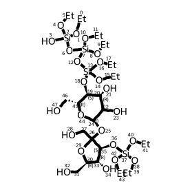 CCO[Si](O)(OCC)O[Si](OCC)(OCC)O[Si](OCC)(OCC)O[C@H]1[C@H](O)C(O)[C@@H](OC2(CO)O[C@H](CO)[C@@H](O)[C@@H]2O[Si](OCC)(OCC)OCC)O[C@@H]1CO